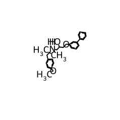 COc1ccc(CC(C)(C)NCC(O)COc2cccc(-c3ccccc3)c2)cc1